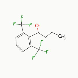 CCCC([O])c1c(C(F)(F)F)cccc1C(F)(F)F